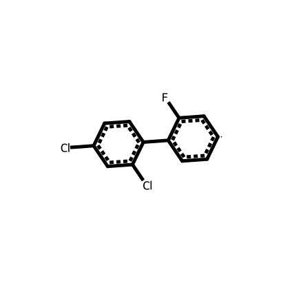 Fc1c[c]ccc1-c1ccc(Cl)cc1Cl